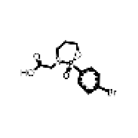 O=C(O)CN1CCCOP1(=O)c1ccc(Br)cc1